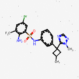 CC1CC(c2cccc(NS(=O)(=O)c3cc(Br)cc(C(F)(F)F)c3N)c2)(c2ncnn2C)C1